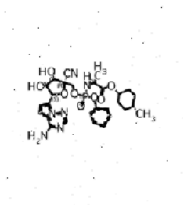 C[C@H](N[P@](=O)(OC[C@@]1(C#N)O[C@@H](c2ccc3c(N)ncnn23)[C@H](O)[C@@H]1O)Oc1ccccc1)C(=O)O[C@H]1CC[C@H](C)CC1